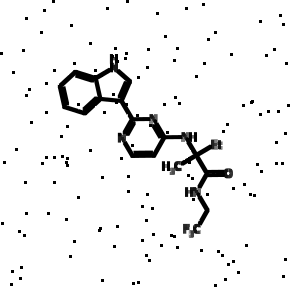 CCC(C)(Nc1ccnc(-c2c[nH]c3ccccc23)n1)C(=O)NCC(F)(F)F